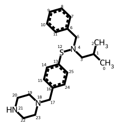 CC(C)CN(Cc1ccccc1)Sc1ccc(CN2CCNCC2)cc1